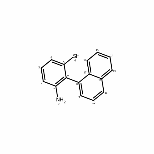 Nc1cccc(S)c1-c1cccc2ccccc12